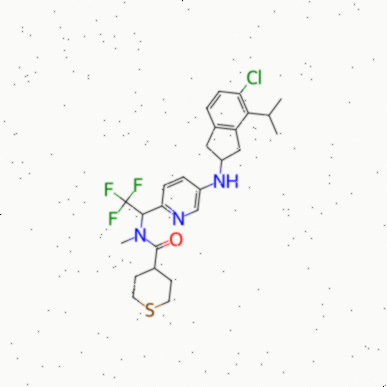 CC(C)c1c(Cl)ccc2c1CC(Nc1ccc(C(N(C)C(=O)C3CCSCC3)C(F)(F)F)nc1)C2